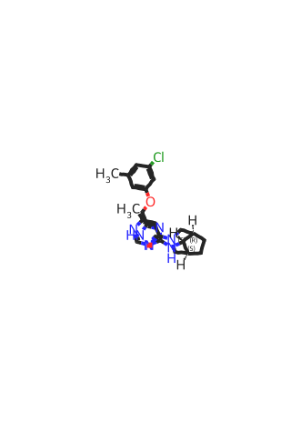 Cc1cc(Cl)cc(OCc2nc(N[C@@H]3[C@@H]4CC[C@H]3CN(c3cc(C)ncn3)C4)n[nH]2)c1